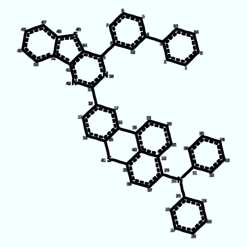 c1ccc(-c2cccc(-c3nc(-c4ccc5c(c4)-c4cccc6c(N(c7ccccc7)c7ccccc7)ccc(c46)S5)nc4c3sc3ccccc34)c2)cc1